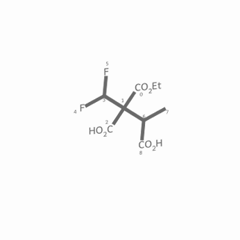 CCOC(=O)C(C(=O)O)(C(F)F)C(C)C(=O)O